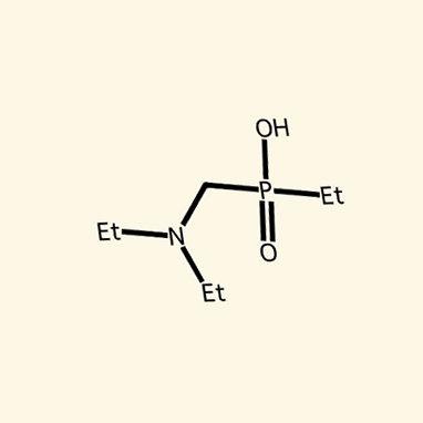 CCN(CC)CP(=O)(O)CC